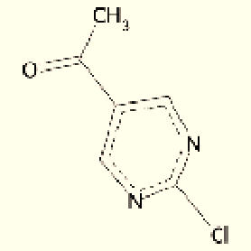 CC(=O)c1cnc(Cl)nc1